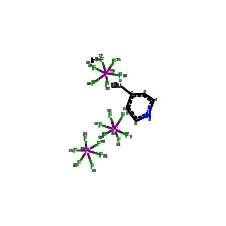 CC(C)(C)c1ccncc1.F[P-](F)(F)(F)(F)F.F[P-](F)(F)(F)(F)F.F[P-](F)(F)(F)(F)F.[Ir+3]